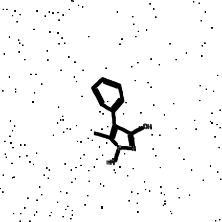 CCCn1nc(O)c(-c2ccccc2)c1C